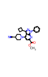 COC(=O)c1cc(N2CCC(C#N)CC2)c2c(C3CCC3)nn(-c3ccccc3)c2n1